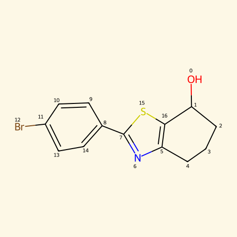 OC1CCCc2nc(-c3ccc(Br)cc3)sc21